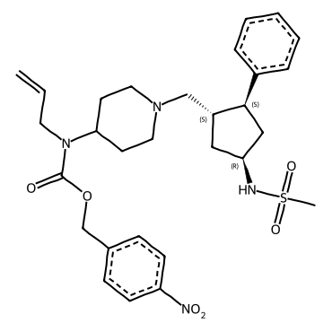 C=CCN(C(=O)OCc1ccc([N+](=O)[O-])cc1)C1CCN(C[C@H]2C[C@H](NS(C)(=O)=O)C[C@@H]2c2ccccc2)CC1